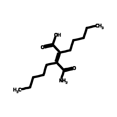 CCCCC/C(C(N)=O)=C(/CCCCC)C(=O)O